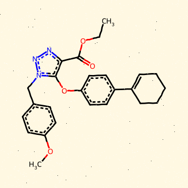 CCOC(=O)c1nnn(Cc2ccc(OC)cc2)c1Oc1ccc(C2=CCCCC2)cc1